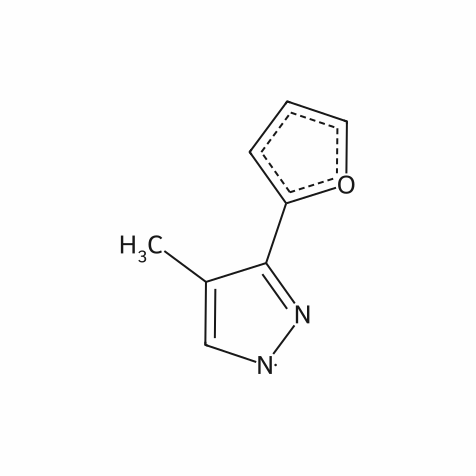 CC1=C[N]N=C1c1ccco1